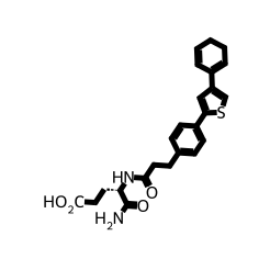 NC(=O)[C@H](CCC(=O)O)NC(=O)CCc1ccc(-c2cc(C3=CCCC=C3)cs2)cc1